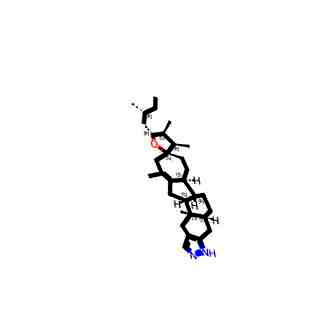 CC[C@@H](C)C[C@H]1O[C@]2(CC[C@@H]3C(=C(C)C2)C[C@H]2[C@H]3CC[C@H]3Cc4[nH]ncc4C[C@@]32C)[C@H](C)[C@@H]1C